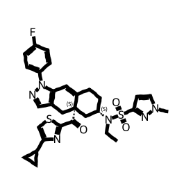 CCN([C@H]1CCC2=Cc3c(cnn3-c3ccc(F)cc3)C[C@]2(C(=O)c2nc(C3CC3)cs2)C1)S(=O)(=O)c1ccn(C)n1